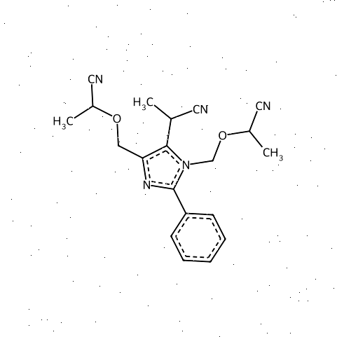 CC(C#N)OCc1nc(-c2ccccc2)n(COC(C)C#N)c1C(C)C#N